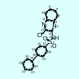 O=S(=O)(Nc1nc2ccccc2nc1Cl)c1ccc(-c2ccccc2)cc1